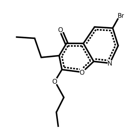 CCCOc1oc2ncc(Br)cc2c(=O)c1CCC